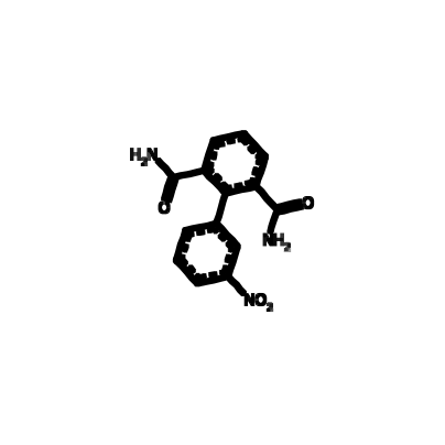 NC(=O)c1cccc(C(N)=O)c1-c1cccc([N+](=O)[O-])c1